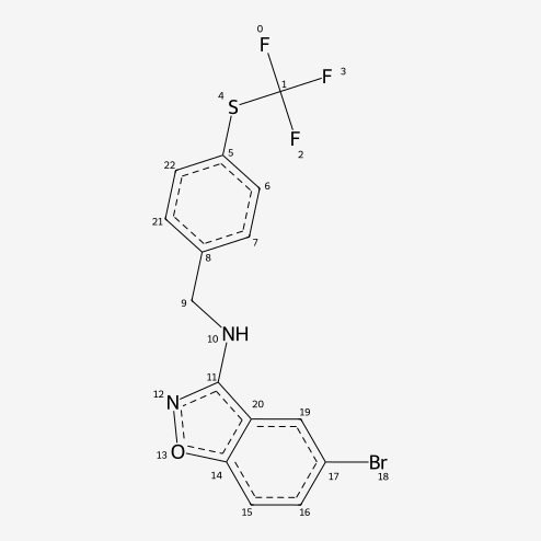 FC(F)(F)Sc1ccc(CNc2noc3ccc(Br)cc23)cc1